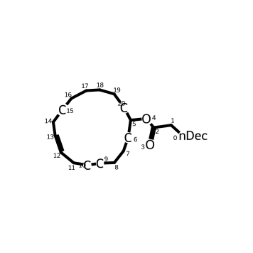 CCCCCCCCCCCC(=O)OC1CCCCCCC=CCCCCCCC1